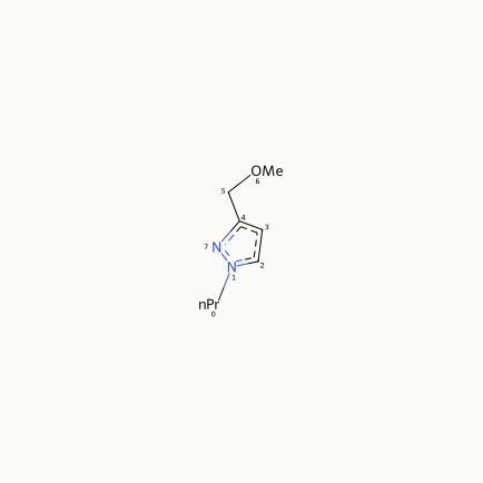 CCCn1ccc(COC)n1